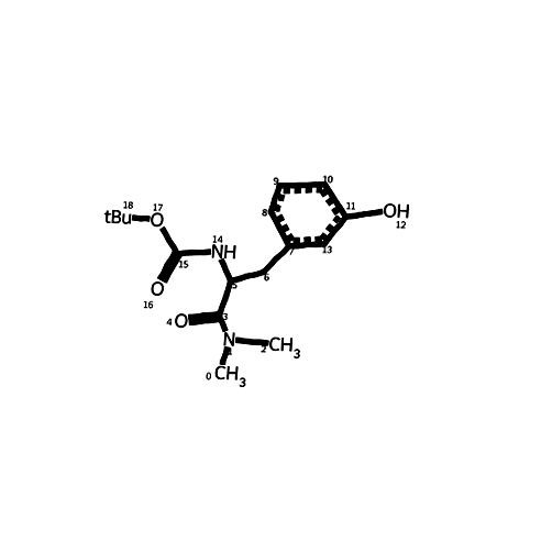 CN(C)C(=O)C(Cc1cccc(O)c1)NC(=O)OC(C)(C)C